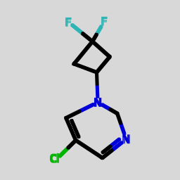 FC1(F)CC(N2C=C(Cl)C=NC2)C1